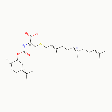 CC(C)=CCC/C(C)=C/CC/C(C)=C/CSC[C@H](NC(=O)OC1C[C@@H](C(C)C)CC[C@@H]1C)C(=O)O